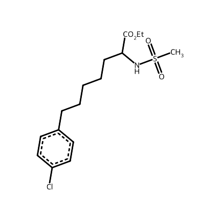 CCOC(=O)C(CCCCCc1ccc(Cl)cc1)NS(C)(=O)=O